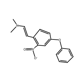 CN(C)C=Cc1ccc(Oc2ccccc2)cc1[N+](=O)[O-]